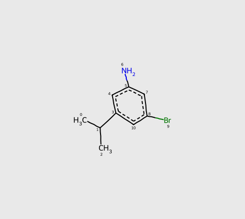 CC(C)c1cc(N)cc(Br)c1